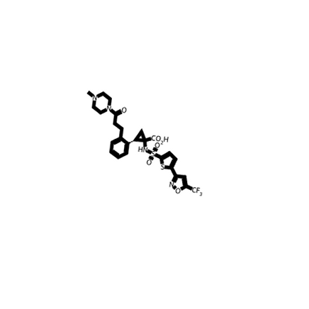 CN1CCN(C(=O)CCc2ccccc2[C@@H]2CC2(NS(=O)(=O)c2ccc(-c3cc(C(F)(F)F)on3)s2)C(=O)O)CC1